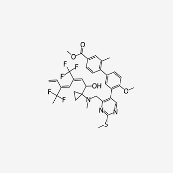 C=C/C(=C\C(=C/C(O)C1(N(C)Cc2nc(SC)ncc2-c2cc(-c3ccc(C(=O)OC)cc3C)ccc2OC)CC1)C(F)(F)F)C(C)(F)F